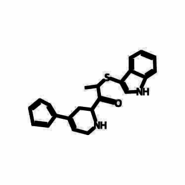 CC(Sc1c[nH]c2ccccc12)C(=O)C1CC(c2ccccc2)=CCN1